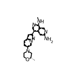 CNc1ncc(-c2cc3ccc(N4CCO[C@@H](C)C4)cn3n2)c2cc(N)ncc12